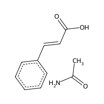 CC(N)=O.O=C(O)C=Cc1ccccc1